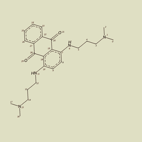 CN(C)CCCNc1ccc(NCCCN(C)C)c2c1C(=O)c1ccccc1C2=O